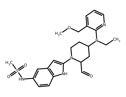 CCN(c1ncccc1COC)C1CCN(c2cc3cc(NS(C)(=O)=O)ccc3[nH]2)C(C=O)C1